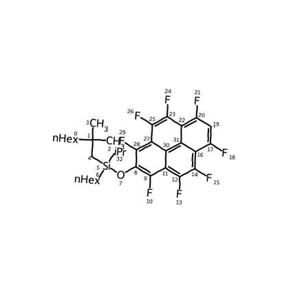 CCCCCCC(C)(C)C[Si](CCCCCC)(Oc1c(F)c2c(F)c(F)c3c(F)[c]c(F)c4c(F)c(F)c(c1F)c2c34)C(C)C